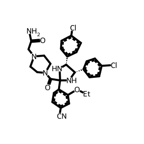 CCOc1cc(C#N)ccc1C1(C(=O)N2CCN(CC(N)=O)CC2)N[C@H](c2ccc(Cl)cc2)[C@H](c2ccc(Cl)cc2)N1